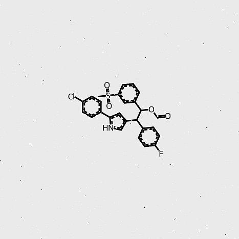 CS(=O)(=O)c1cccc(C(OC=O)C(c2ccc(F)cc2)c2c[nH]c(-c3ccc(Cl)cc3)c2)c1